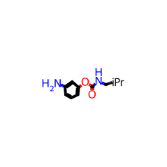 CC(C)CNC(=O)Oc1cccc(N)c1